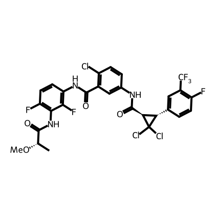 CO[C@@H](C)C(=O)Nc1c(F)ccc(NC(=O)c2cc(NC(=O)[C@H]3[C@H](c4ccc(F)c(C(F)(F)F)c4)C3(Cl)Cl)ccc2Cl)c1F